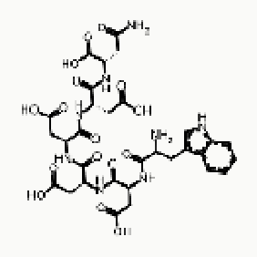 NC(=O)C[C@H](NC(=O)[C@H](CC(=O)O)NC(=O)[C@H](CC(=O)O)NC(=O)[C@H](CC(=O)O)NC(=O)[C@H](CC(=O)O)NC(=O)[C@@H](N)Cc1c[nH]c2ccccc12)C(=O)O